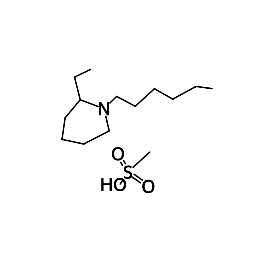 CCCCCCN1CCCCC1CC.CS(=O)(=O)O